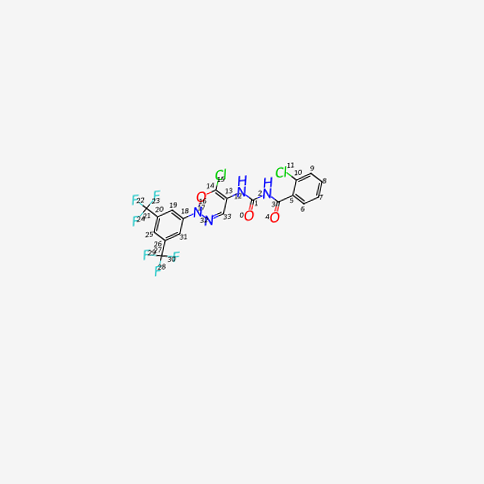 O=C(NC(=O)c1ccccc1Cl)NC1=C(Cl)ON(c2cc(C(F)(F)F)cc(C(F)(F)F)c2)N=C1